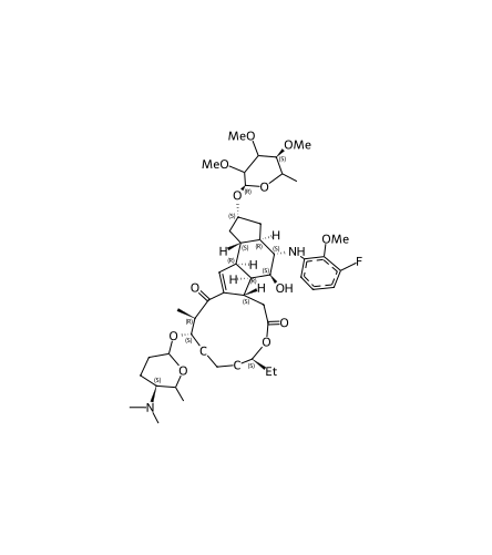 CC[C@H]1CCC[C@H](OC2CC[C@H](N(C)C)C(C)O2)[C@@H](C)C(=O)C2=C[C@H]3[C@@H]4C[C@H](O[C@@H]5OC(C)[C@H](OC)C(OC)C5OC)C[C@H]4[C@H](Nc4cccc(F)c4OC)[C@@H](O)[C@H]3[C@@H]2CC(=O)O1